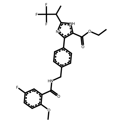 CCOC(=O)c1[nH]c(C(C)C(F)(F)F)nc1-c1ccc(CNC(=O)c2cc(F)ccc2OC)cc1